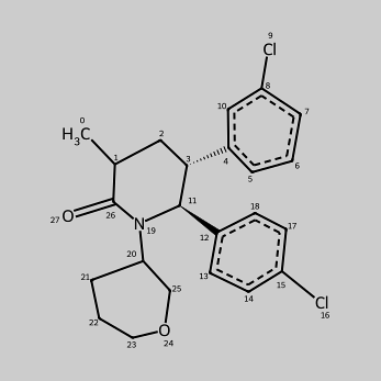 CC1C[C@H](c2cccc(Cl)c2)[C@@H](c2ccc(Cl)cc2)N(C2CCCOC2)C1=O